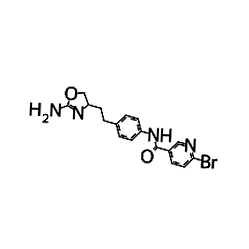 NC1=NC(CCc2ccc(NC(=O)c3ccc(Br)nc3)cc2)CO1